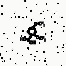 OB(O)c1ccc(OC(F)(F)F)cc1OC(F)(F)F